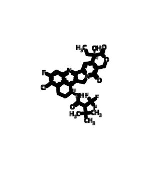 CC[C@@]1(O)C(=O)OCc2c1cc1n(c2=O)Cc2c-1nc1cc(F)c(Cl)c3c1c2[C@@H](NC(=O)C(C(C)(C)C)C(F)(F)F)CC3